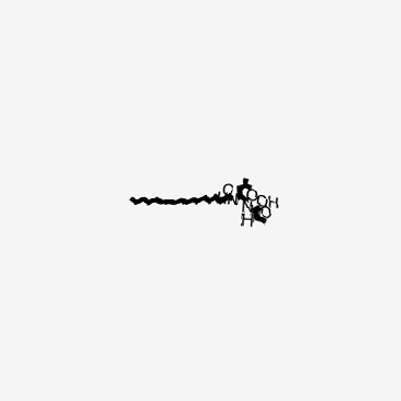 CCCCCCCCCCCCCCCCC(=O)NC(CC(C)C)C(=O)N[C@H]1CCOC1O